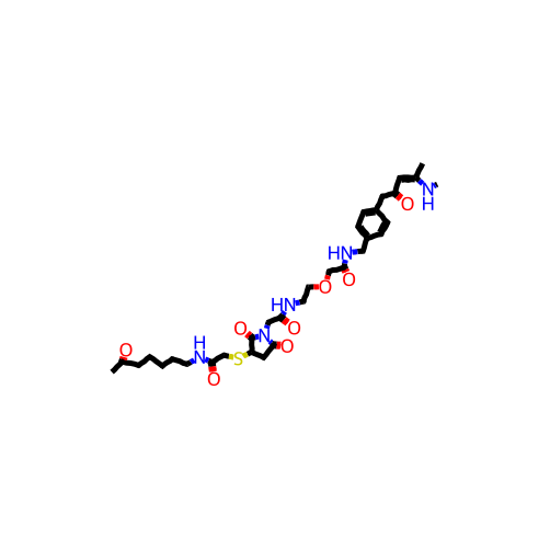 CN/C(C)=C\C(=O)Cc1ccc(CNC(=O)COCCNC(=O)CN2C(=O)CC(SCC(=O)NCCCCCC(C)=O)C2=O)cc1